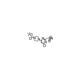 CC(C)(C)OC(=O)N1CCN(c2cc(Cl)nc(C[SH](=O)=O)n2)CC1